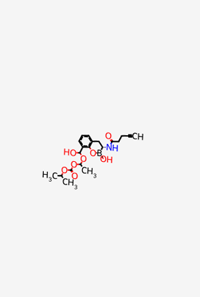 C#CCCC(=O)N[C@H]1Cc2cccc(C(O)OC(C)OC(=O)OC(C)C)c2OB1O